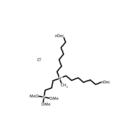 CCCCCCCCCCCCCCCC[N+](C)(CCCCCCCCCCCCCCCC)CCC[Si](OC)(OC)OC.[Cl-]